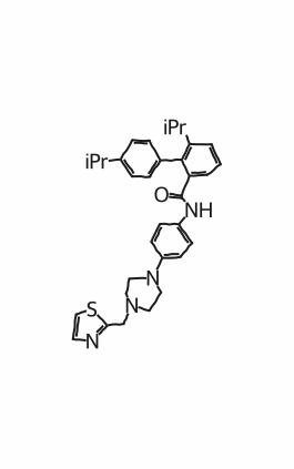 CC(C)c1ccc(-c2c(C(=O)Nc3ccc(N4CCN(Cc5nccs5)CC4)cc3)cccc2C(C)C)cc1